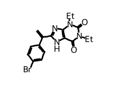 C=C(c1ccc(Br)cc1)c1nc2c([nH]1)c(=O)n(CC)c(=O)n2CC